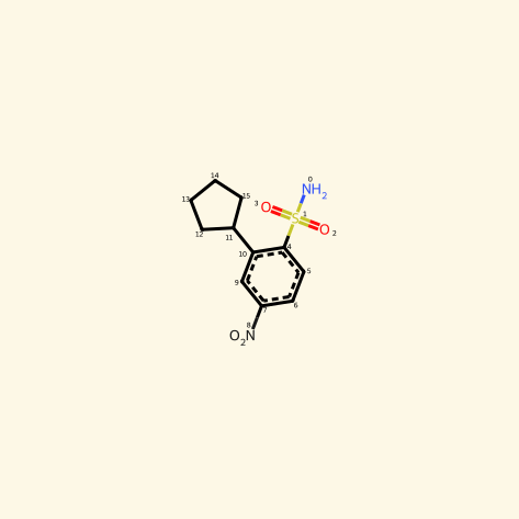 NS(=O)(=O)c1ccc([N+](=O)[O-])cc1C1CCCC1